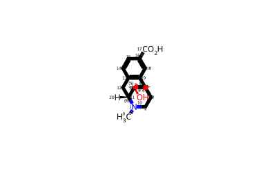 CN1CCC23CCCC[C@@]2(O)[C@H]1Cc1ccc(C(=O)O)cc13